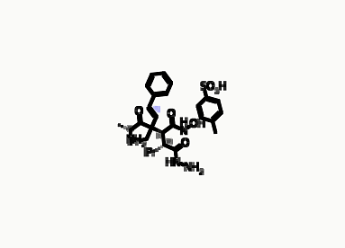 CC(C)CC(/C=C/c1ccccc1)(C(=O)[C@@H](C)N)[C@@H](C(=O)NO)[C@H](C(=O)NN)C(C)C.Cc1ccc(S(=O)(=O)O)cc1